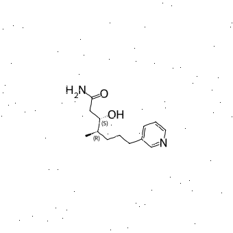 C[C@H](CCCc1cccnc1)[C@@H](O)CC(N)=O